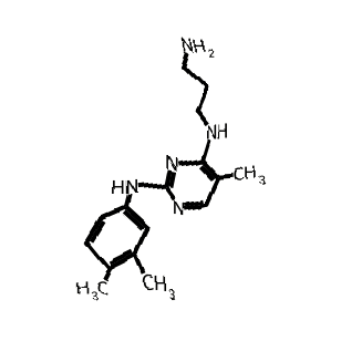 Cc1ccc(Nc2ncc(C)c(NCCCN)n2)cc1C